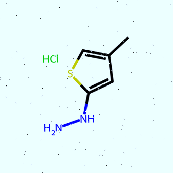 Cc1csc(NN)c1.Cl